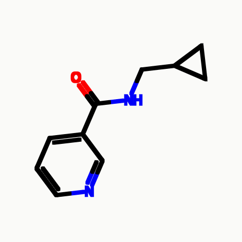 O=C(NCC1CC1)c1cccnc1